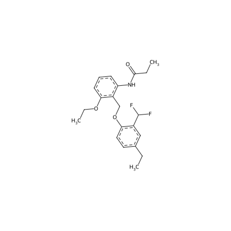 CCOc1cccc(NC(=O)CC)c1COc1ccc(CC)cc1C(F)F